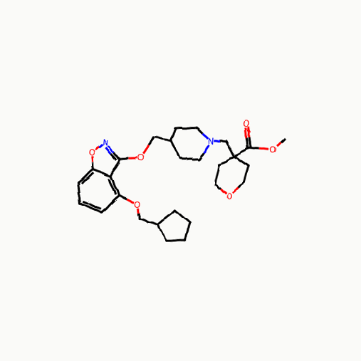 COC(=O)C1(CN2CCC(COc3noc4cccc(OCC5CCCC5)c34)CC2)CCOCC1